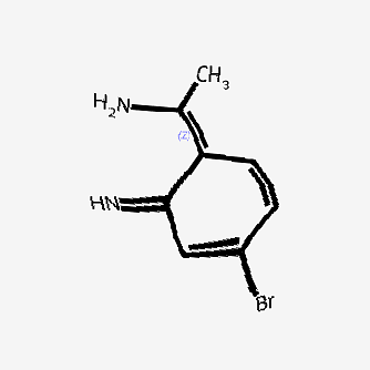 C/C(N)=C1\C=CC(Br)=CC1=N